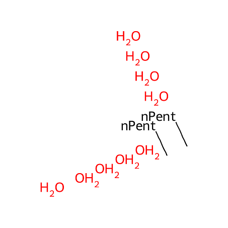 CCCCCC.CCCCCC.O.O.O.O.O.O.O.O.O